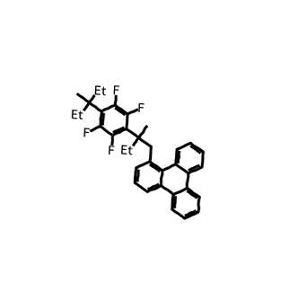 CCC(C)(CC)c1c(F)c(F)c(C(C)(CC)Cc2cccc3c4ccccc4c4ccccc4c23)c(F)c1F